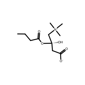 CCCC(=O)O[C@](O)(CC(=O)[O-])C[N+](C)(C)C